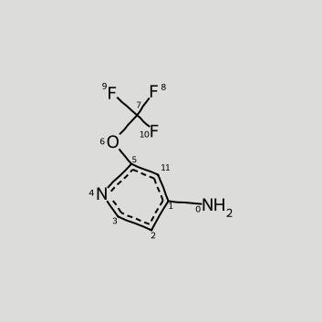 Nc1ccnc(OC(F)(F)F)c1